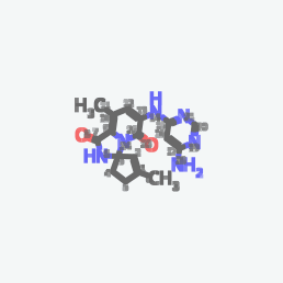 CC1=CC2(CC1)NC(=O)c1c(C)cc(Nc3cc(N)ncn3)c(=O)n12